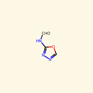 O=CNc1nnco1